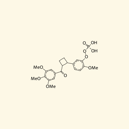 COc1ccc(C2CCC2C(=O)c2cc(OC)c(OC)c(OC)c2)cc1OOP(=O)(O)O